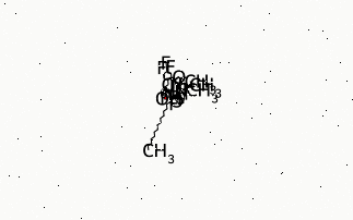 CCCCCCCCCCCCCCC(F)C(F)(F)N[C@H](CO)COc1ccc(C(F)(F)F)cc1C(=O)N=c1sc(C(C)(C)C)cn1C[C@H]1CCCO1